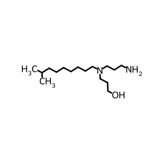 CC(C)CCCCCCCN(CCCN)CCCO